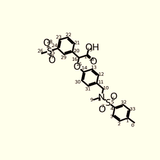 Cc1ccc(S(=O)(=O)N(C)Cc2ccc(OC(C(=O)O)c3cccc(S(C)(=O)=O)c3)cc2)cc1